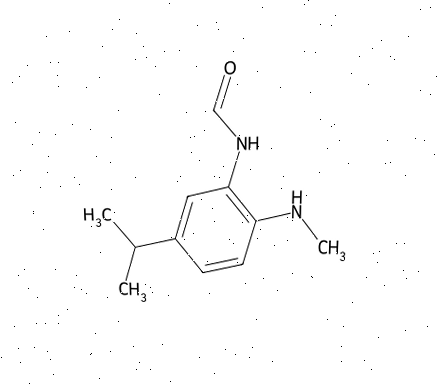 CNc1ccc(C(C)C)cc1NC=O